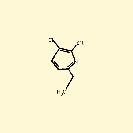 CCc1ccc(Cl)c(C)n1